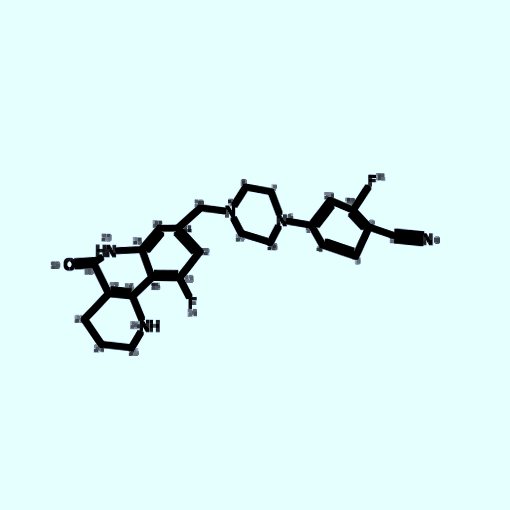 N#Cc1ccc(N2CCN(Cc3cc(F)c4c5c(c(=O)[nH]c4c3)CCCN5)CC2)cc1F